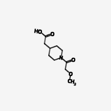 COCC(=O)N1CCC(CC(=O)O)CC1